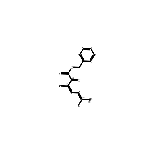 C=C(OCc1ccccc1)C(=O)/C(Br)=C\C=C(/C)C(C)C